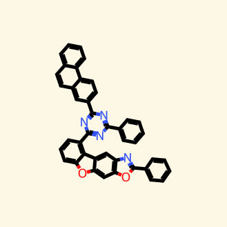 c1ccc(-c2nc(-c3ccc4c(ccc5ccccc54)c3)nc(-c3cccc4oc5cc6oc(-c7ccccc7)nc6cc5c34)n2)cc1